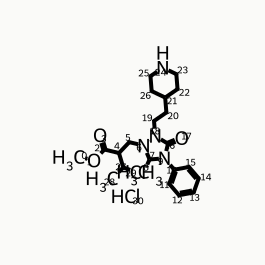 COC(=O)C(CN1C(C)N(c2ccccc2)C(=O)N1CCC1CCNCC1)C(C)C.Cl